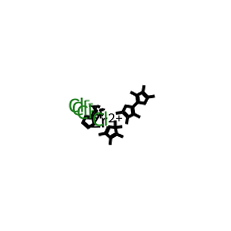 CC1=C(C)C(C)(C)[C]([Zr+2])=C1C.CC1=C(C)C(C)=C(C2=C(C)C(C)=C(C)C2)C1.[CH3][Zr]([CH3])([CH3])([CH3])([Cl])([Cl])[C]1=CC=CC1.[Cl-].[Cl-]